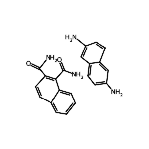 NC(=O)c1ccc2ccccc2c1C(N)=O.Nc1ccc2cc(N)ccc2c1